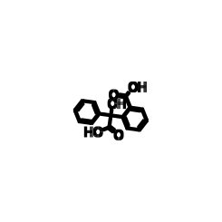 O=C(O)c1ccccc1C(O)(C(=O)O)c1ccccc1